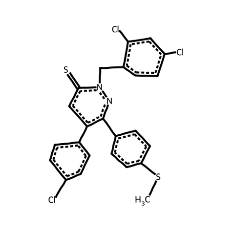 CSc1ccc(-c2nn(Cc3ccc(Cl)cc3Cl)c(=S)cc2-c2ccc(Cl)cc2)cc1